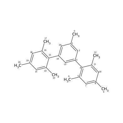 Cc1cc(-c2c(C)cc(C)cc2C)cc(-c2c(C)cc(C)cc2C)c1